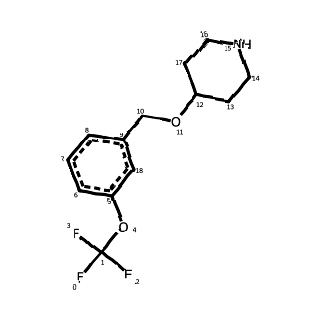 FC(F)(F)Oc1cccc(COC2CCNCC2)c1